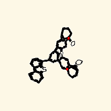 O=C1c2cc3c(cc2C2CCC1CC2)c1cc(-c2cccc4c2sc2ccccc24)cc2c4cc5c(cc4n3c12)C(=O)C1CCC5CC1